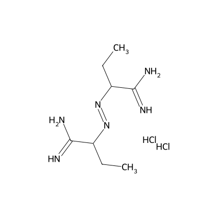 CCC(N=NC(CC)C(=N)N)C(=N)N.Cl.Cl